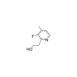 Cc1ccnc(CCO)c1F